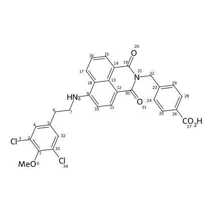 COc1c(Cl)cc(CCNc2ccc3c4c(cccc24)C(=O)N(Cc2ccc(C(=O)O)cc2)C3=O)cc1Cl